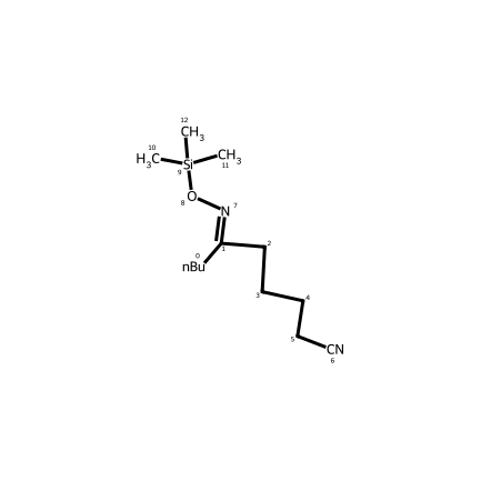 CCCC/C(CCCCC#N)=N\O[Si](C)(C)C